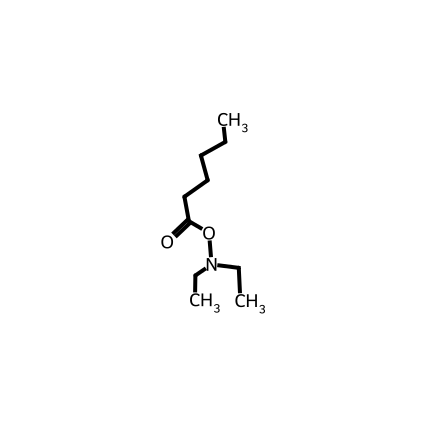 CCCCCC(=O)ON(CC)CC